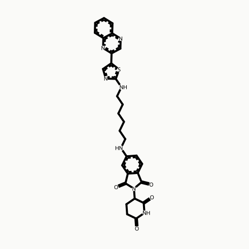 O=C1CCC(N2C(=O)c3ccc(NCCCCCCNc4ncc(-c5cnc6ccccc6n5)s4)cc3C2=O)C(=O)N1